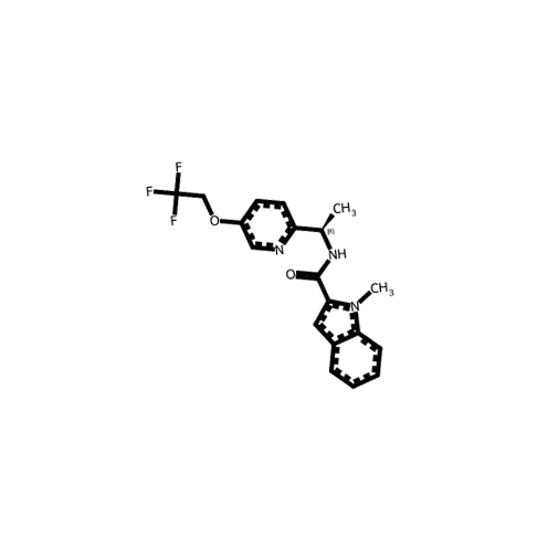 C[C@@H](NC(=O)c1cc2ccccc2n1C)c1ccc(OCC(F)(F)F)cn1